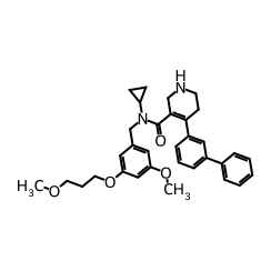 COCCCOc1cc(CN(C(=O)C2=C(c3cccc(-c4ccccc4)c3)CCNC2)C2CC2)cc(OC)c1